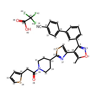 Cc1onc(-c2cccc(-c3ccc(C#N)cc3)c2)c1-c1csc(C2CCN(C(=O)Cc3cccs3)CC2)n1.O=C(O)C(F)(F)F